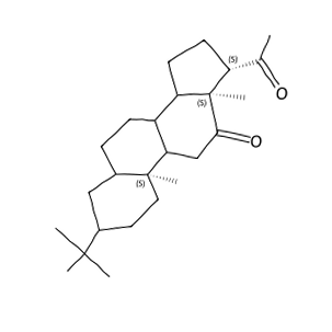 CC(=O)[C@H]1CCC2C3CCC4CC(C(C)(C)C)CC[C@]4(C)C3CC(=O)[C@@]21C